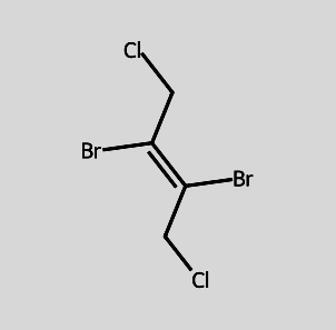 ClC/C(Br)=C(\Br)CCl